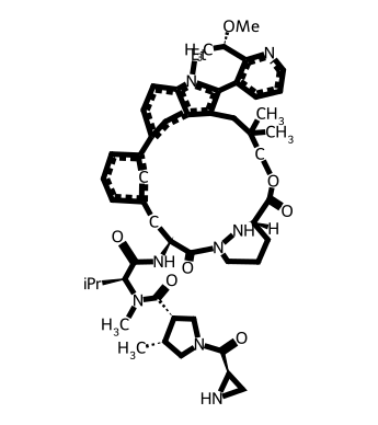 CCn1c(-c2cccnc2[C@H](C)OC)c2c3cc(ccc31)-c1cccc(c1)C[C@H](NC(=O)[C@H](C(C)C)N(C)C(=O)[C@@H]1CN(C(=O)[C@H]3CN3)C[C@@H]1C)C(=O)N1CCC[C@H](N1)C(=O)OCC(C)(C)C2